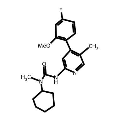 COc1cc(F)ccc1-c1cc(NC(=O)N(C)C2CCCCC2)ncc1C